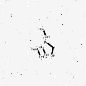 CC(C)CO.CCC(C)O.CCCC(C)O.CCCCO